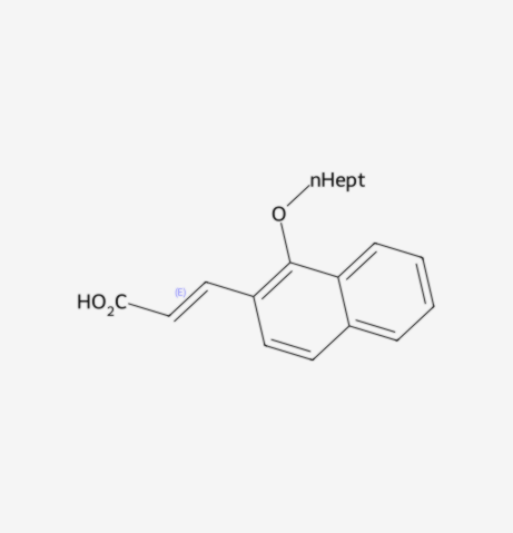 CCCCCCCOc1c(/C=C/C(=O)O)ccc2ccccc12